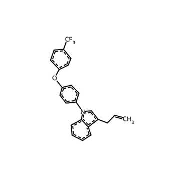 C=CCc1cn(-c2ccc(Oc3ccc(C(F)(F)F)cc3)cc2)c2ccccc12